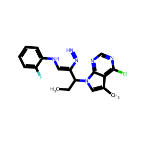 CCC(/C(=C/Nc1ccccc1F)N=N)n1cc(C)c2c(Cl)ncnc21